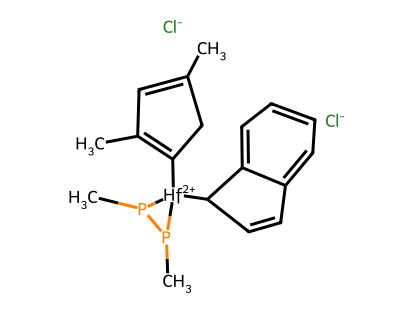 CC1=CC(C)=[C]([Hf+2]2([CH]3C=Cc4ccccc43)[P](C)[P]2C)C1.[Cl-].[Cl-]